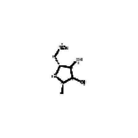 CNC[C@H]1O[C@H](C)C(O)C1O